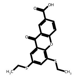 CCSc1cc(SCC)c2oc3ccc(C(=O)O)cc3c(=O)c2c1